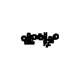 COc1ccccc1NC(=O)N1CCN(c2ccc(NC(=O)c3oc(N4CCCCC4)nc3C(F)(F)F)cn2)CC1